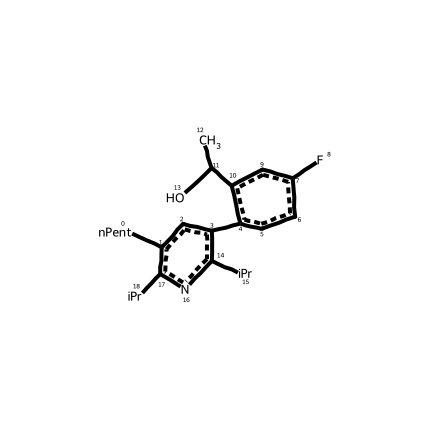 CCCCCc1cc(-c2ccc(F)cc2C(C)O)c(C(C)C)nc1C(C)C